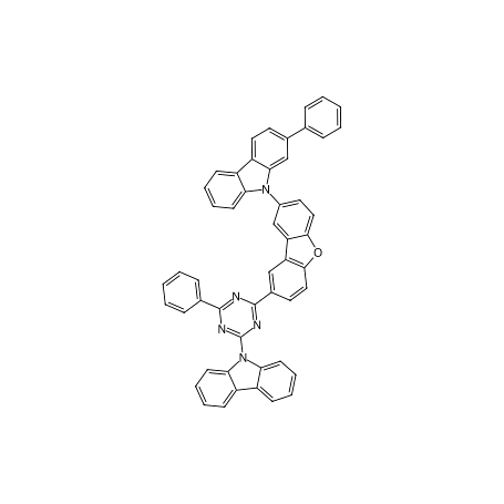 c1ccc(-c2ccc3c4ccccc4n(-c4ccc5oc6ccc(-c7nc(-c8ccccc8)nc(-n8c9ccccc9c9ccccc98)n7)cc6c5c4)c3c2)cc1